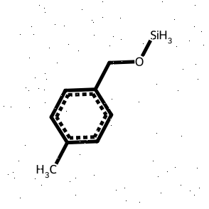 Cc1ccc(CO[SiH3])cc1